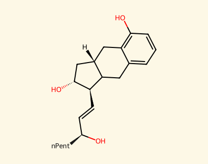 CCCCC[C@H](O)/C=C/[C@@H]1C2Cc3cccc(O)c3C[C@H]2C[C@H]1O